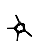 Cc1cp(C)c(C)c1C